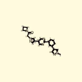 Cn1cc(-c2cccc(-c3ncc(-c4cnn(CC(=O)N5CCC5)c4)cn3)c2)cn1